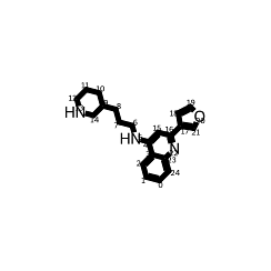 c1ccc2c(NCCCC3CCCNC3)cc(-c3ccoc3)nc2c1